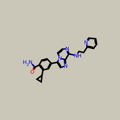 NC(=O)c1ccc(-c2cnc3c(NCCc4ccccn4)nccn23)cc1C1CC1